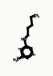 CCCCCNc1cncc(C)n1